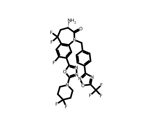 N[C@H]1CC(F)(F)c2cc(F)c(-c3nnc(N4CCC(F)(F)CC4)o3)cc2N(Cc2ccc(-c3noc(C(F)(F)F)n3)cc2)C1=O